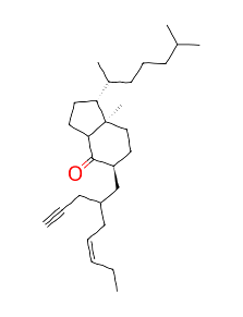 C#CCC(C/C=C\CC)C[C@@H]1CC[C@@]2(C)C(CC[C@@H]2C(C)CCCC(C)C)C1=O